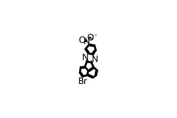 O=[N+]([O-])c1ccc2nc3c(nc2c1)-c1ccc(Br)c2cccc-3c12